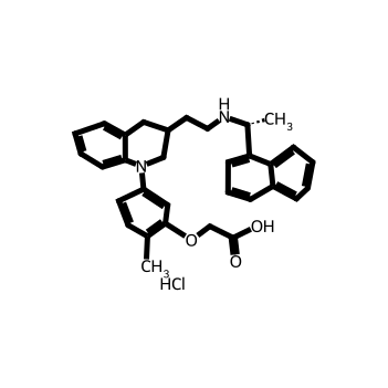 Cc1ccc(N2CC(CCN[C@H](C)c3cccc4ccccc34)Cc3ccccc32)cc1OCC(=O)O.Cl